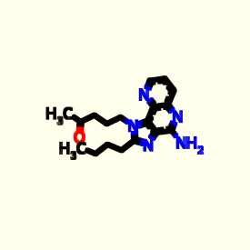 CCCCc1nc2c(N)nc3cccnc3c2n1CCCC(C)=O